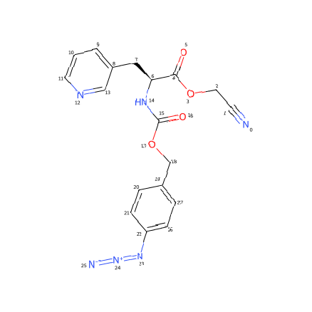 N#CCOC(=O)[C@H](Cc1cccnc1)NC(=O)OCc1ccc(N=[N+]=[N-])cc1